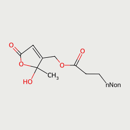 CCCCCCCCCCCC(=O)OCC1=CC(=O)OC1(C)O